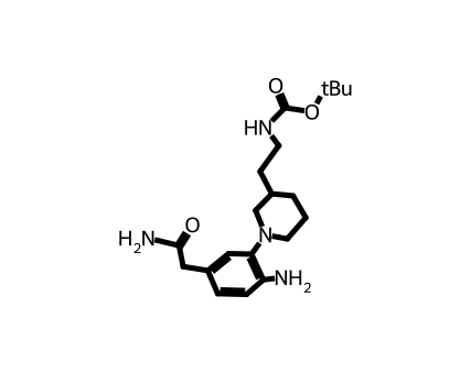 CC(C)(C)OC(=O)NCCC1CCCN(c2cc(CC(N)=O)ccc2N)C1